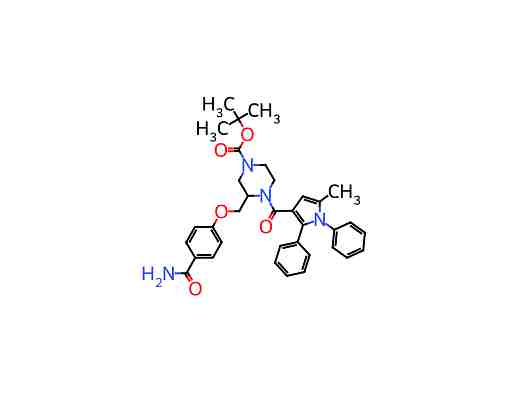 Cc1cc(C(=O)N2CCN(C(=O)OC(C)(C)C)CC2COc2ccc(C(N)=O)cc2)c(-c2ccccc2)n1-c1ccccc1